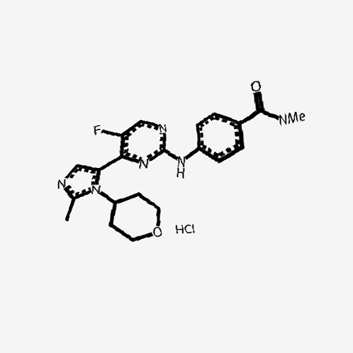 CNC(=O)c1ccc(Nc2ncc(F)c(-c3cnc(C)n3C3CCOCC3)n2)cc1.Cl